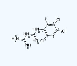 Cc1c(Cl)c(Cl)cc(Cl)c1NC(=N)NC(=N)N